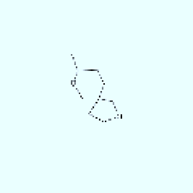 CC1CCC2(CO1)COC(C)C2